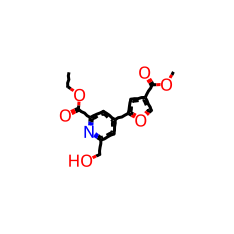 CCOC(=O)c1cc(-c2cc(C(=O)OC)co2)cc(CO)n1